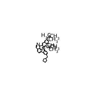 CC(C)(C)Cc1ccc2c(CC(C)(C)C)c3c(cc2c1)c1nccc2ccc4c5cc(CC6CCCC6)ccc5n3c4c21